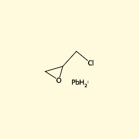 ClCC1CO1.[PbH2]